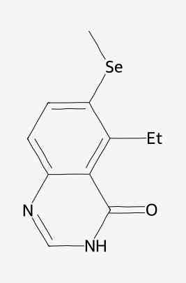 CCc1c([Se]C)ccc2nc[nH]c(=O)c12